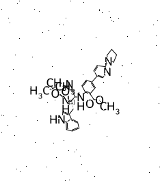 COC(=O)c1cc(-c2ccc(N3CCCC3)nc2)ccc1NC(C#N)[C@H](Cc1c[nH]c2ccccc12)NC(=O)OC(C)(C)C